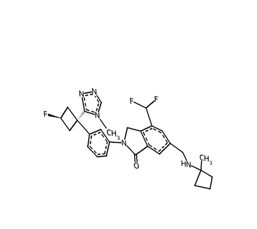 Cn1cnnc1[C@]1(c2cccc(N3Cc4c(cc(CNC5(C)CCC5)cc4C(F)F)C3=O)c2)C[C@@H](F)C1